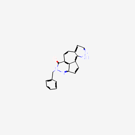 O=c1c2ccc3c(c4ccc(nn1Cc1ccccc1)c2-4)NN=CC=3